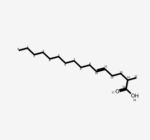 CCCCCCCCCCC=CCCC(C)C(=O)O